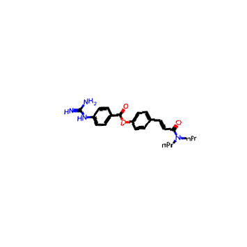 CCCN(CCC)C(=O)C=Cc1ccc(OC(=O)c2ccc(NC(=N)N)cc2)cc1